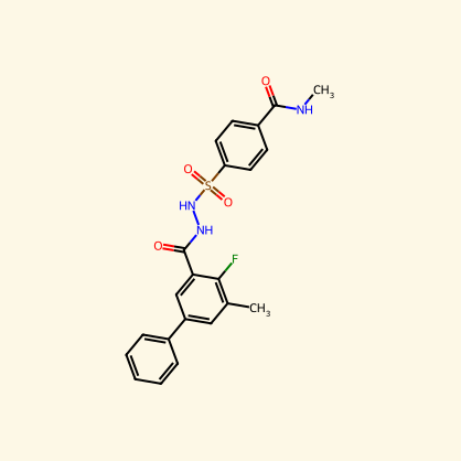 CNC(=O)c1ccc(S(=O)(=O)NNC(=O)c2cc(-c3ccccc3)cc(C)c2F)cc1